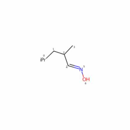 CC(C)CC(C)[C]=NO